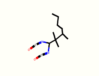 CCCCC(C)C(C)(C)C(N=C=O)N=C=O